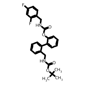 CC(C)(C)OC(=O)NCc1ccccc1-c1ccccc1OC(=O)NCc1ccc(F)cc1F